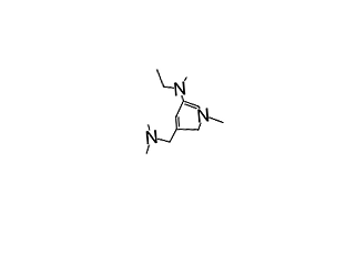 CCN(C)C1=CN(C)CC(CN(C)C)=C1